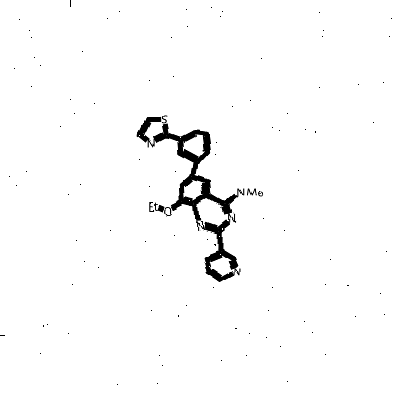 CCOc1cc(-c2cccc(-c3nccs3)c2)cc2c(NC)nc(-c3cccnc3)nc12